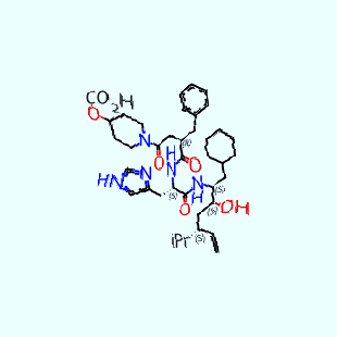 C=C[C@@H](C[C@H](O)[C@H](CC1CCCCC1)NC(=O)[C@H](Cc1c[nH]cn1)NC(=O)[C@@H](CC(=O)N1CCC(OC(=O)O)CC1)Cc1ccccc1)C(C)C